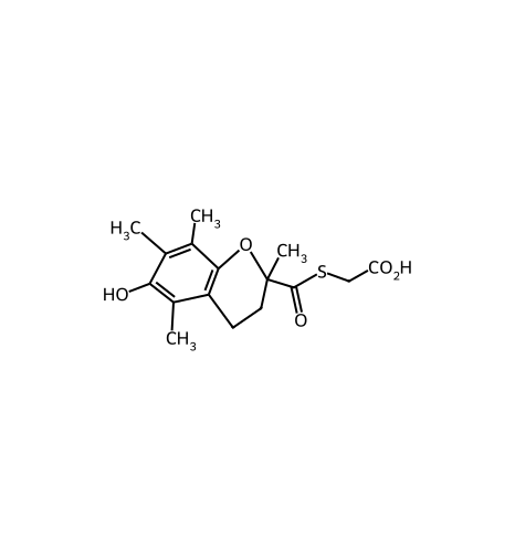 Cc1c(C)c2c(c(C)c1O)CCC(C)(C(=O)SCC(=O)O)O2